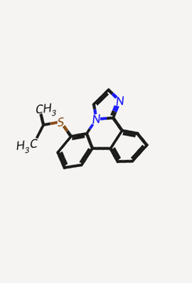 CC(C)Sc1cccc2c3ccccc3c3nccn3c12